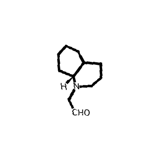 O=CCN1CCCC2CCCC[C@H]21